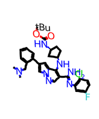 CN(C)Cc1ccccc1-c1cc2c(N[C@@H]3CC[C@H](NC(=O)OC(C)(C)C)C3)c(/C(N)=N/c3cc(F)ccc3Cl)cnn2c1